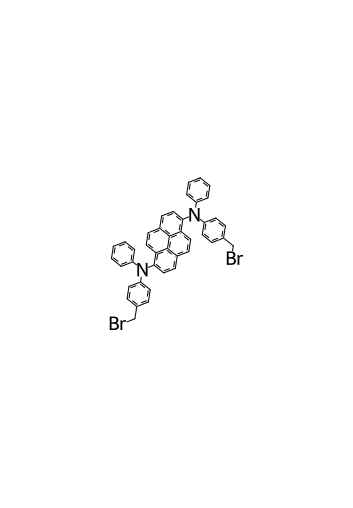 BrCc1ccc(N(c2ccccc2)c2ccc3ccc4c(N(c5ccccc5)c5ccc(CBr)cc5)ccc5ccc2c3c54)cc1